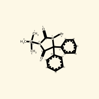 CC(C)N1C(=O)N([Si](C)(C)C)C(=O)C1(c1ccccc1)c1ccccc1